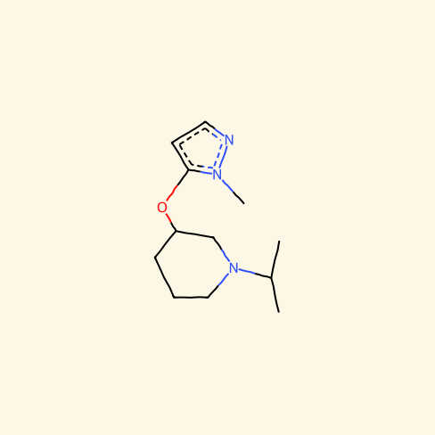 CC(C)N1CCCC(Oc2ccnn2C)C1